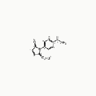 Cl.NNc1ccc(N2C(=O)C=CC2=O)cn1